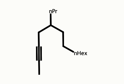 CC#CCC(C[CH]C)CCCCCCCC